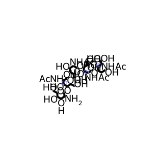 CC(=O)N/C(=C(\O)C(CCO)OC1OC(CO)C(O)C(O)C1N)C(O)OC1C(CO)OC(OC(CCO)/C(O)=C(/NC(C)=O)C(O)OC(CCO)/C(O)=C(\NC(C)=O)C(O)O)C(NC(C)=O)C1O